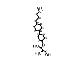 C=C(CO)C(O)OC1CCC(C2CCC(CCCCC)CC2)CC1